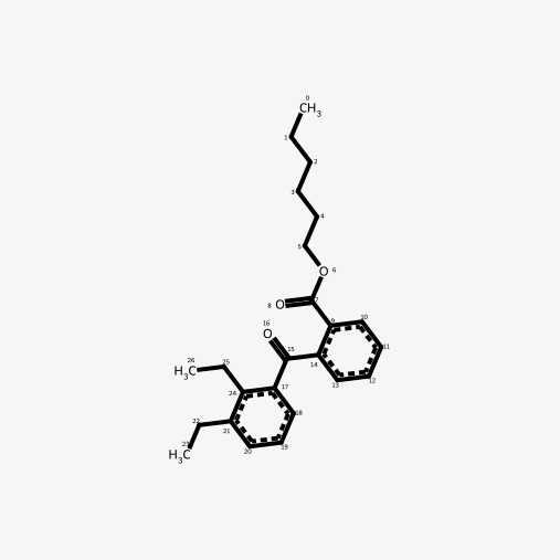 CCCCCCOC(=O)c1ccccc1C(=O)c1cccc(CC)c1CC